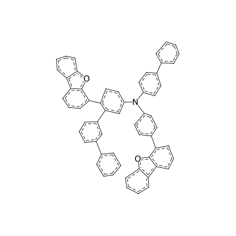 c1ccc(-c2ccc(N(c3ccc(-c4cccc5c4oc4ccccc45)cc3)c3ccc(-c4cccc5c4oc4ccccc45)c(-c4cccc(-c5ccccc5)c4)c3)cc2)cc1